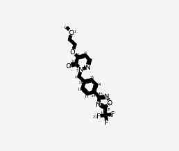 COCCOc1ccnn(Cc2ccc(-c3noc(C(F)(F)F)n3)cc2)c1=O